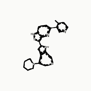 Cc1ccncc1-c1ccc2[nH]nc(-c3cc4c(N5CCCCC5)cncc4[nH]3)c2n1